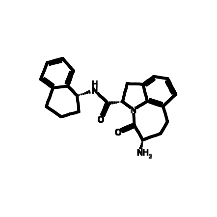 N[C@H]1CCc2cccc3c2N(C1=O)[C@H](C(=O)N[C@@H]1CCCc2ccccc21)C3